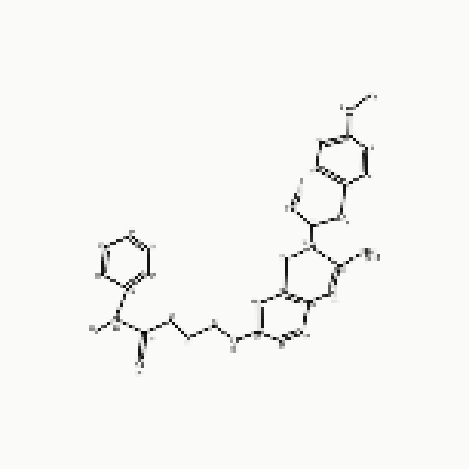 COc1ccc(OC(C=O)N2Cc3cc(OCCCC(=O)N(C)c4ccccc4)ccc3N=C2N)cc1